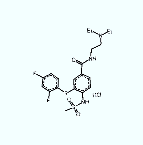 CCN(CC)CCNC(=O)c1ccc(NS(C)(=O)=O)c(Sc2ccc(F)cc2F)c1.Cl